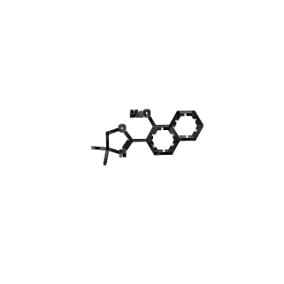 COc1c(C2=NC(C)(C)CO2)ccc2ccccc12